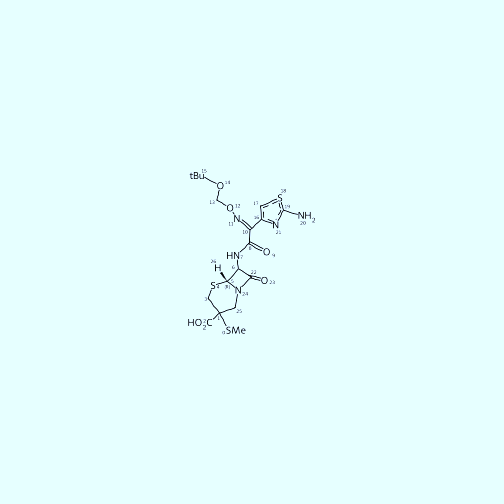 CSC1(C(=O)O)CS[C@@H]2C(NC(=O)C(=NOCOC(C)(C)C)c3csc(N)n3)C(=O)N2C1